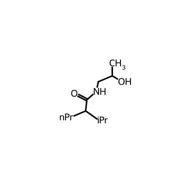 CCCC(C(=O)NCC(C)O)C(C)C